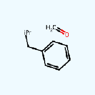 C=O.CC(C)Cc1ccccc1